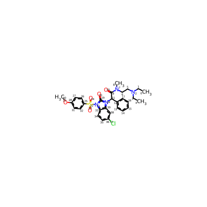 CCN(CC)CCN(C)C(=O)C(c1ccccc1)n1c(=O)n(S(=O)(=O)c2ccc(OC)cc2)c2ccc(Cl)cc21